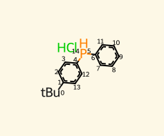 CC(C)(C)c1ccc(Pc2ccccc2)cc1.Cl